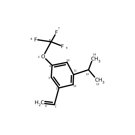 C=[C]c1cc(OC(F)(F)F)cc(C(C)C)c1